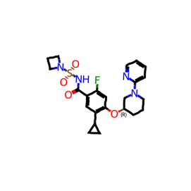 O=C(NS(=O)(=O)N1CCC1)c1cc(C2CC2)c(O[C@@H]2CCCN(c3ccccn3)C2)cc1F